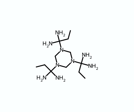 CCC(N)(N)N1CN(C(N)(N)CC)CN(C(N)(N)CC)C1